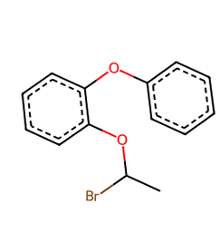 CC(Br)Oc1ccccc1Oc1ccccc1